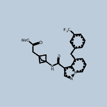 COC(=O)CC12CC(NC(=O)c3cnn4cccc(Cc5cccc(C(F)(F)F)c5)c34)(C1)C2